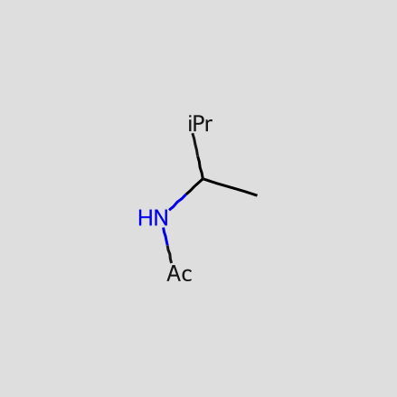 CC(=O)NC(C)C(C)C